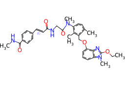 CCOc1nc2c(OCc3c(C)ccc(N(C)C(=O)CNC(=O)/C=C/c4ccc(C(=O)NC)cc4)c3C)cccc2n1C